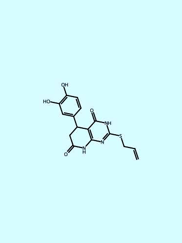 C=CCSc1nc2c(c(=O)[nH]1)C(c1ccc(O)c(O)c1)CC(=O)N2